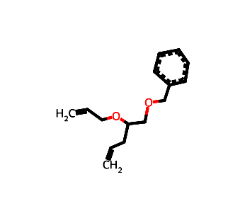 C=CCOC(CC=C)COCc1ccccc1